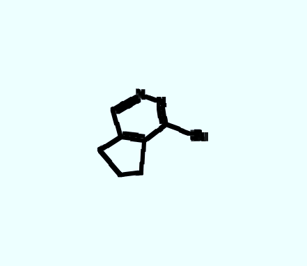 CC(C)(C)c1nncc2c1CCC2